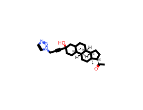 CC(=O)[C@H]1CC[C@H]2[C@@H]3CCC4CC(O)(C#CCn5ccnn5)CC[C@]4(C)[C@H]3CC[C@]12C